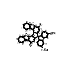 CC(C)(C)c1ccc(C2(c3ccc(C(C)(C)C)cc3)c3cc(Br)c4c(oc5ccccc54)c3-c3c2cc(Br)c2oc4ccccc4c32)cc1